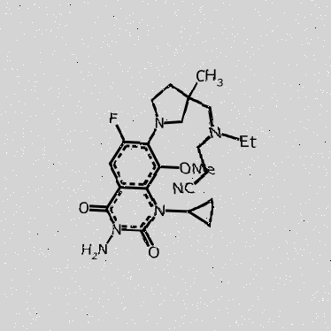 CCN(CCC#N)CC1(C)CCN(c2c(F)cc3c(=O)n(N)c(=O)n(C4CC4)c3c2OC)C1